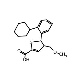 COCC1C=C(C(=O)O)SC1c1ccccc1C1CCCCC1